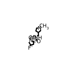 CN1CCC(CNC(=O)[C@@H]2C[C@@H](F)CN2C(=O)O)C1